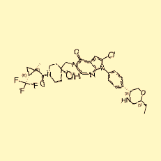 CC[C@H]1CN[C@H](c2ccc(-n3c(Cl)cc4c(=O)n(CC5(O)CCN(C(=O)[C@]6(C)C[C@H]6C(F)(F)F)CC5)cnc43)cc2)CO1